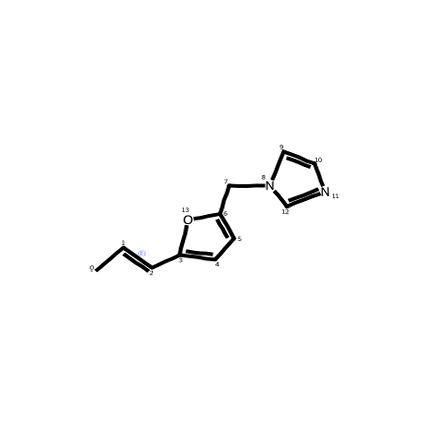 [CH2]/C=C/c1ccc(Cn2ccnc2)o1